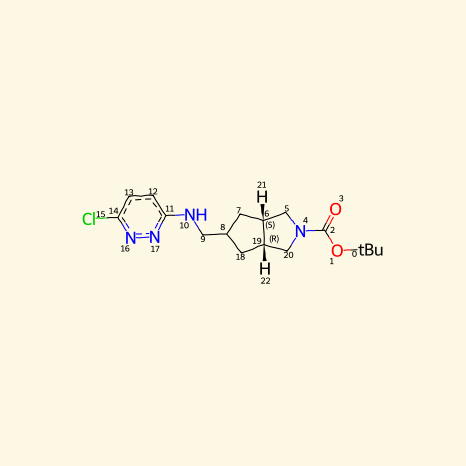 CC(C)(C)OC(=O)N1C[C@H]2CC(CNc3ccc(Cl)nn3)C[C@H]2C1